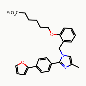 CCOC(=O)CCCCCOc1ccccc1Cn1cc(C)nc1-c1ccc(-c2ccco2)cc1